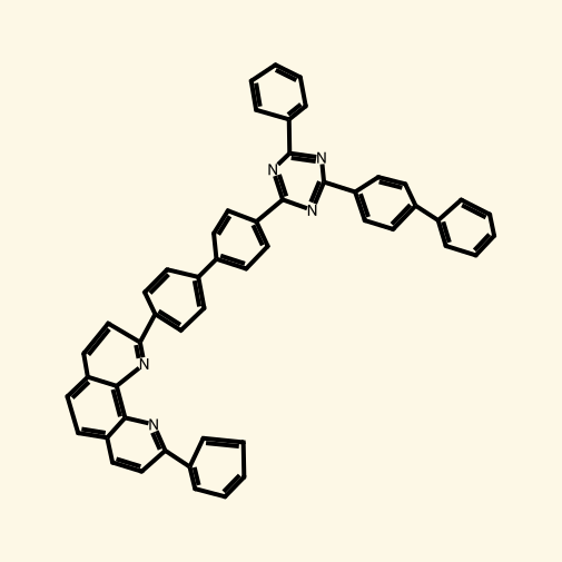 c1ccc(-c2ccc(-c3nc(-c4ccccc4)nc(-c4ccc(-c5ccc(-c6ccc7ccc8ccc(-c9ccccc9)nc8c7n6)cc5)cc4)n3)cc2)cc1